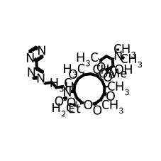 C=C[C@]12OC(=O)N(CCCCn3cnc(-c4cnccn4)c3)[C@@H]1[C@@H](C)C(=O)[C@H](C)C[C@](C)(OC)[C@H](OC1O[C@H](C)C[C@H](N(C)C)[C@H]1O)[C@@H](C)C(=O)[C@@H](C)C(=O)O[C@@H]2CC